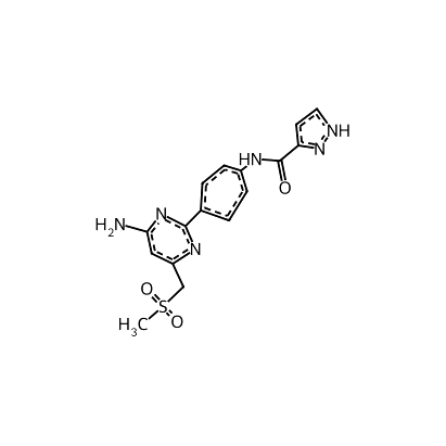 CS(=O)(=O)Cc1cc(N)nc(-c2ccc(NC(=O)c3cc[nH]n3)cc2)n1